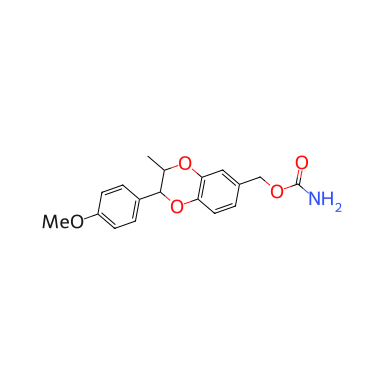 COc1ccc(C2Oc3ccc(COC(N)=O)cc3OC2C)cc1